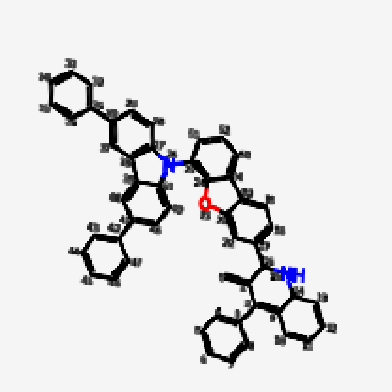 C=C1C(c2ccccc2)=C2C=CC=CC2NC1c1ccc2c(c1)oc1c(-n3c4ccc(-c5ccccc5)cc4c4cc(-c5ccccc5)ccc43)cccc12